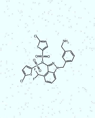 NCc1cccc(Cn2nc(N(S(=O)(=O)c3ccc(Cl)s3)S(=O)(=O)c3ccc(Cl)s3)c3c(C(F)F)cccc32)c1